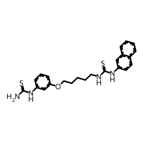 NC(=S)Nc1cccc(OCCCCCNC(=S)Nc2ccc3ccccc3c2)c1